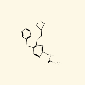 CNC(=O)Nc1ccc(Oc2ccccc2)c(OCC2COC2)c1